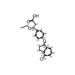 CCO[C@@H](CC(=O)O)c1ccc(O[C@@H]2CCc3c(Cl)cccc32)cc1